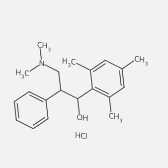 Cc1cc(C)c(C(O)C(CN(C)C)c2ccccc2)c(C)c1.Cl